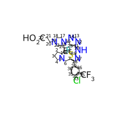 CC[C@@H]1CCCN1Cc1sc(Nc2ncnc(N3CCN(CCC(=O)O)CC3)c2F)nc1-c1ccc(Cl)c(C(F)(F)F)c1